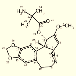 COC1=C[C@]23CCCN2CCc2cc4c(cc2[C@@H]3[C@@H]1OC(=O)C(C)(C)N)OCO4